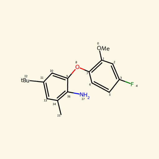 COc1cc(F)ccc1Oc1cc(C(C)(C)C)cc(C)c1N